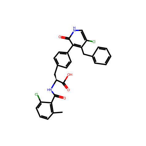 Cc1cccc(Cl)c1C(=O)N[C@@H](Cc1ccc(-c2c(Cc3ccccc3)c(Cl)c[nH]c2=O)cc1)C(=O)O